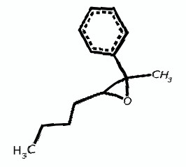 CCCCC1OC1(C)c1ccccc1